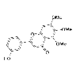 COc1cc2oc(-c3cccc(O)c3)cc(=O)c2c(OC)c1OC